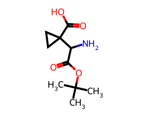 CC(C)(C)OC(=O)C(N)C1(C(=O)O)CC1